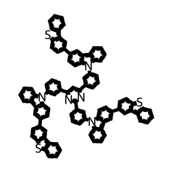 c1cc(-c2cc(-c3cccc(-n4c5ccccc5c5cc(-c6ccc7sc8ccccc8c7c6)ccc54)c3)nc(-c3cccc(-n4c5ccccc5c5cc(-c6ccc7sc8ccccc8c7c6)ccc54)c3)n2)cc(-n2c3ccccc3c3cc(-c4ccc5sc6ccccc6c5c4)ccc32)c1